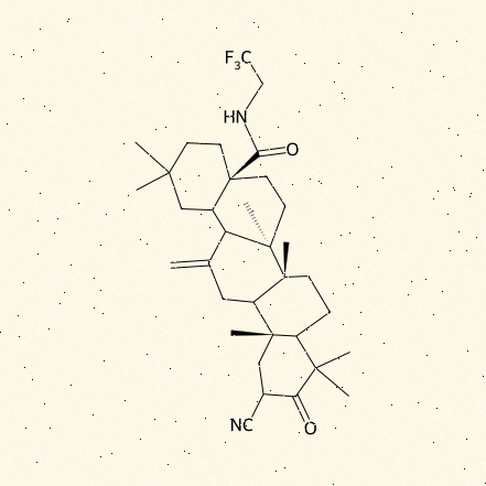 C=C1CC2[C@@]3(C)CC(C#N)C(=O)C(C)(C)C3CC[C@@]2(C)[C@]2(C)CC[C@@]3(C(=O)NCC(F)(F)F)CCC(C)(C)CC3C12